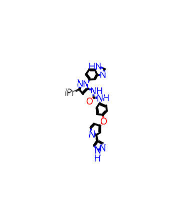 CC(C)c1cc(NC(=O)Nc2ccc(Oc3ccnc(-c4cn[nH]c4)c3)cc2)n(-c2ccc3[nH]cnc3c2)n1